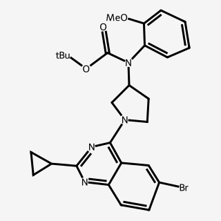 COc1ccccc1N(C(=O)OC(C)(C)C)C1CCN(c2nc(C3CC3)nc3ccc(Br)cc23)C1